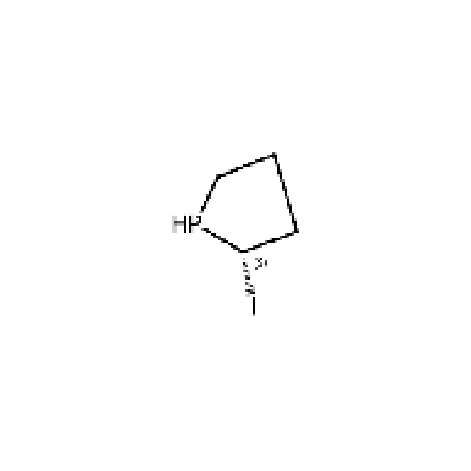 I[C@H]1CCCP1